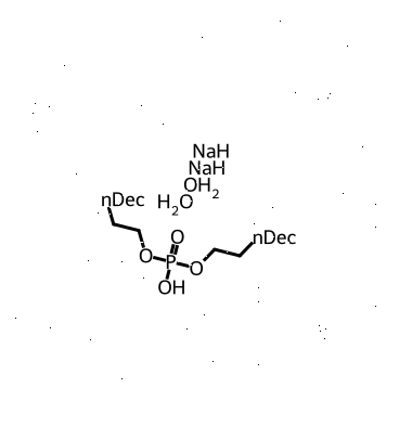 CCCCCCCCCCCCOP(=O)(O)OCCCCCCCCCCCC.O.O.[NaH].[NaH]